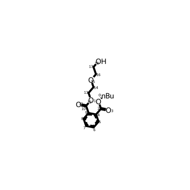 CCCCOC(=O)c1ccccc1C(=O)OCCOCCO